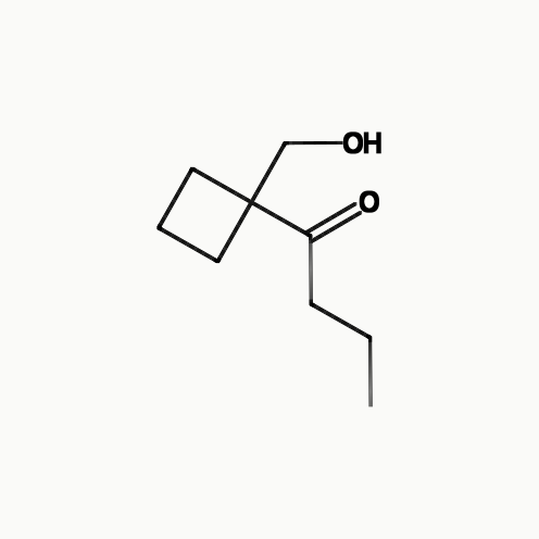 CCCC(=O)C1(CO)CCC1